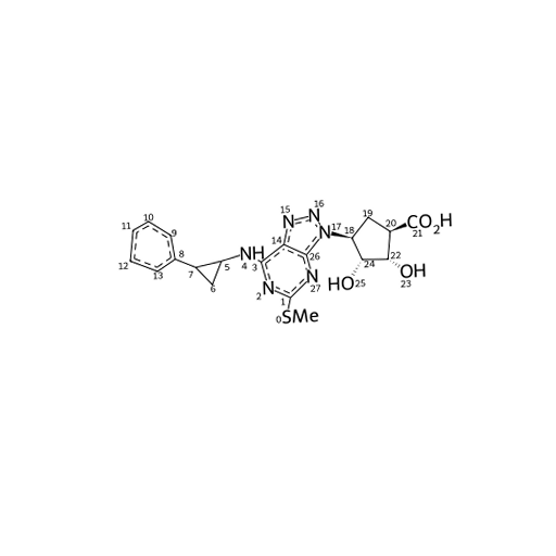 CSc1nc(NC2CC2c2ccccc2)c2nnn([C@H]3C[C@@H](C(=O)O)[C@H](O)[C@@H]3O)c2n1